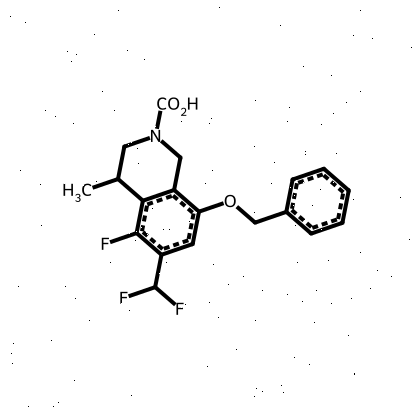 CC1CN(C(=O)O)Cc2c(OCc3ccccc3)cc(C(F)F)c(F)c21